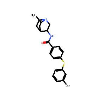 CC(=O)c1cccc(Sc2ccc(C(=O)NC3CN4CCC3CC4C)cc2)c1